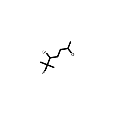 CC([O])CCC(Br)C(C)(C)Br